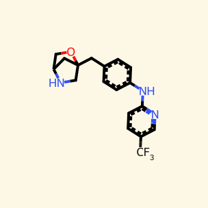 FC(F)(F)c1ccc(Nc2ccc(CC34CNC(CO3)C4)cc2)nc1